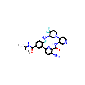 CC(C)NC(=O)c1ccc(F)c(-c2ccc(N)c(C(=O)Nc3cnccc3N3CCC(F)(F)C(N)C3)n2)c1